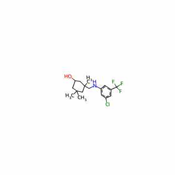 CC1(C)CC(O)CC(C)(CNc2cc(Cl)cc(C(F)(F)F)c2)C1